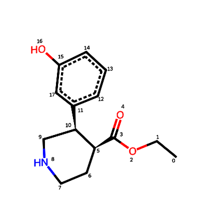 CCOC(=O)[C@H]1CCNC[C@H]1c1cccc(O)c1